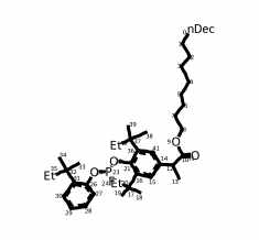 CCCCCCCCCCCCCCCCCCOC(=O)C(C)c1cc(C(C)(C)CC)c(OP(F)Oc2ccccc2C(C)(C)CC)c(C(C)(C)CC)c1